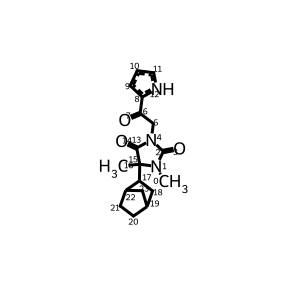 CN1C(=O)N(CC(=O)c2ccc[nH]2)C(=O)C1(C)C1CC2CCC1C2